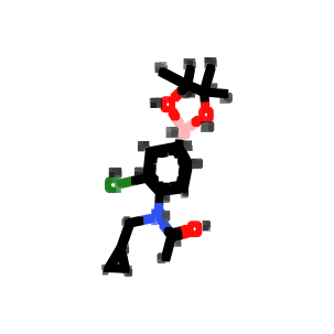 CC(=O)N(CC1CC1)c1ccc(B2OC(C)(C)C(C)(C)O2)cc1Cl